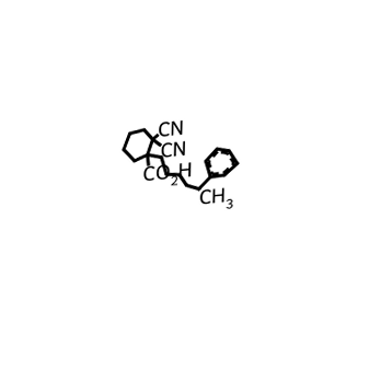 CC(CCCCC1(C(=O)O)CCCCC1(C#N)C#N)c1ccccc1